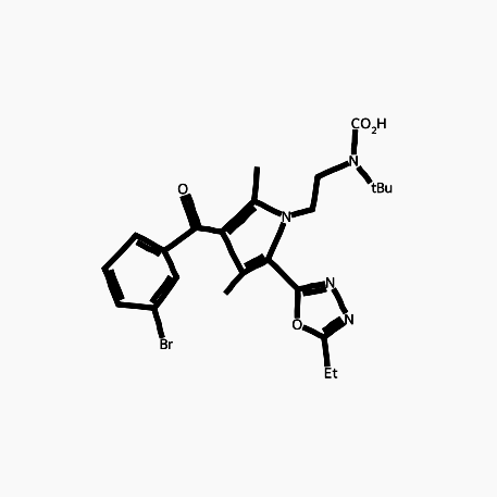 CCc1nnc(-c2c(C)c(C(=O)c3cccc(Br)c3)c(C)n2CCN(C(=O)O)C(C)(C)C)o1